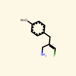 COc1ccc(C/C(=C/F)CN)cc1